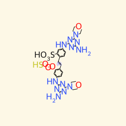 Nc1nc(Nc2ccc(/C=C/c3ccc(Nc4nc(N)nc(N5CCOCC5)n4)cc3S(=O)(=O)O)c(OOOS)c2)nc(N2CCOCC2)n1